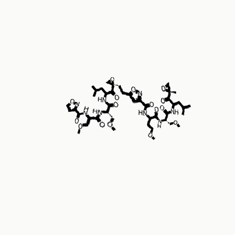 COCCC(NC(=O)c1cc(CC[C@]2(C(=O)C(CC(C)C)NC(=O)[C@H](COC)NC(=O)C(COC)NC(=O)c3ccon3)CO2)on1)C(=O)N[C@@H](COC)C(=O)NC(CC(C)C)C(=O)[C@@]1(C)CO1